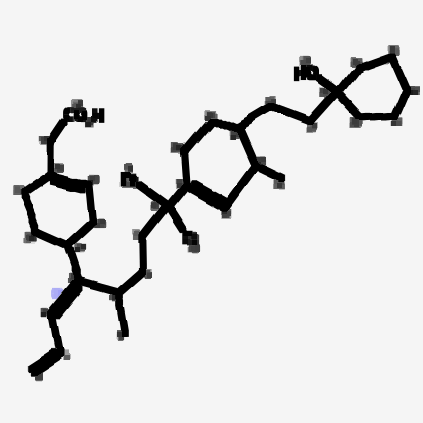 C=C/C=C(\C(C)CCC(CC)(CC)C1=CC(C)C(CCC2(O)CCCCC2)CC1)C1CC=C(CC(=O)O)CC1